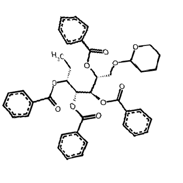 CC[C@@H](OC(=O)c1ccccc1)[C@@H](OC(=O)c1ccccc1)[C@H](OC(=O)c1ccccc1)[C@@H](COC1CCCCO1)OC(=O)c1ccccc1